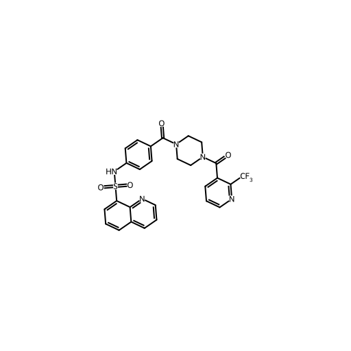 O=C(c1ccc(NS(=O)(=O)c2cccc3cccnc23)cc1)N1CCN(C(=O)c2cccnc2C(F)(F)F)CC1